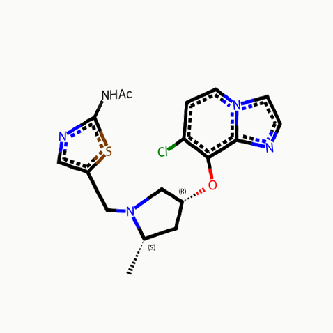 CC(=O)Nc1ncc(CN2C[C@H](Oc3c(Cl)ccn4ccnc34)C[C@@H]2C)s1